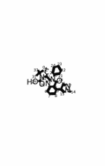 CC[C@@H](c1nc2cccc(-c3cnn(C)c3)c2c(=O)n1-c1ccccc1)N(C(=O)O)C(C)(C)C